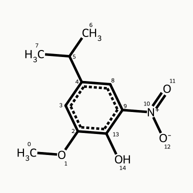 COc1cc(C(C)C)cc([N+](=O)[O-])c1O